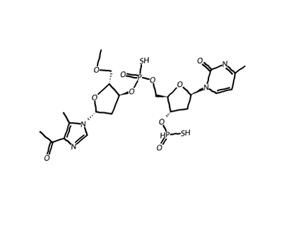 COC[C@H]1O[C@@H](n2cnc(C(C)=O)c2C)C[C@@H]1OP(=O)(S)OC[C@H]1O[C@@H](n2ccc(C)nc2=O)C[C@@H]1O[PH](=O)S